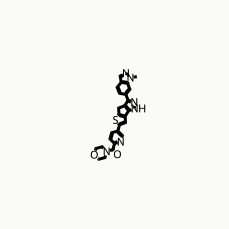 Cn1ncc2ccc(-c3n[nH]c4c3Cc3sc(-c5ccc(C(=O)N6CCOCC6)nc5)cc3-4)cc21